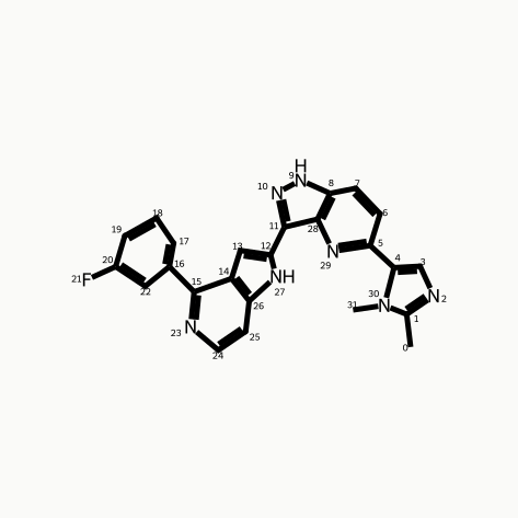 Cc1ncc(-c2ccc3[nH]nc(-c4cc5c(-c6cccc(F)c6)nccc5[nH]4)c3n2)n1C